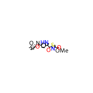 COC(=O)c1csc(C(=O)c2c[nH]c3cc(C(OCC[Si](C)(C)C)[N+](=O)[O-])ccc23)n1